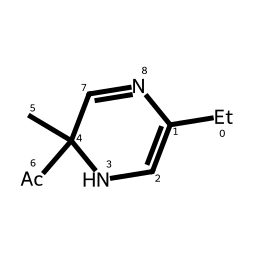 CCC1=CNC(C)(C(C)=O)C=N1